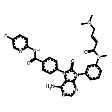 CN(C)CC=CC(=O)N(C)c1cccc(-n2c(=O)n(-c3ccc(C(=O)Nc4ccc(F)cn4)cc3)c3c(N)ncnc32)c1